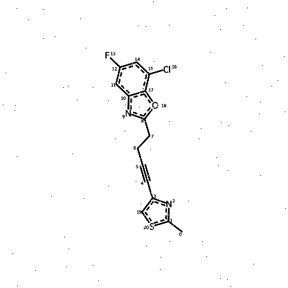 Cc1nc(C#CCCc2nc3cc(F)cc(Cl)c3o2)cs1